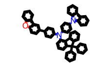 c1ccc(C2(c3ccccc3)c3ccccc3-c3c(N(c4ccc(-c5ccc6oc7ccccc7c6c5)cc4)c4ccc(-n5c6ccccc6c6ccccc65)cc4)cccc32)cc1